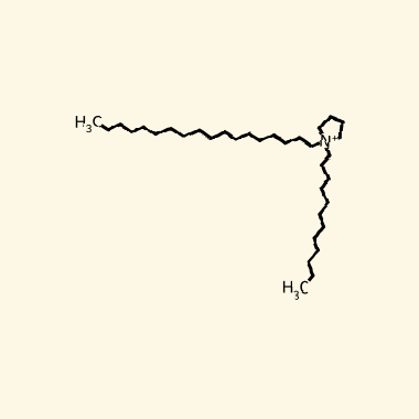 CCCCCCCCCCCCCCCCCC[N+]1(CCCCCCCCCCCC)CCCC1